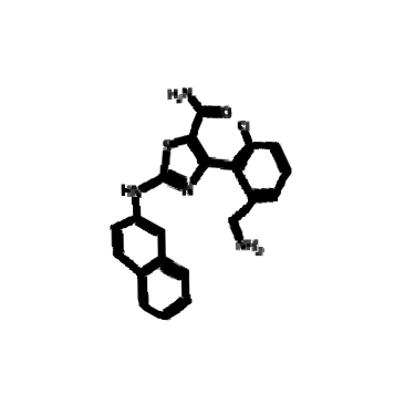 NCc1cccc(Cl)c1-c1nc(Nc2ccc3ccccc3c2)sc1C(N)=O